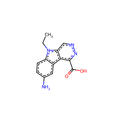 CCn1c2ccc(N)cc2c2c(C(=O)O)nncc21